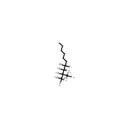 CCCCC[CH]C(F)(F)C(F)(F)C(F)(C(F)(F)F)C(F)(F)F